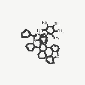 Bc1c(B)c(B)c(-c2ccc3c(-c4ccccc4-n4c(-c5ccccc5)nc5ccccc54)c4ccccc4c(-c4cccc5oc6ccccc6c45)c3c2)c(B)c1B